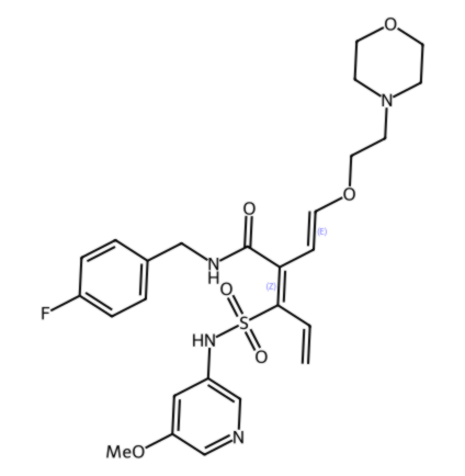 C=C/C(=C(\C=C\OCCN1CCOCC1)C(=O)NCc1ccc(F)cc1)S(=O)(=O)Nc1cncc(OC)c1